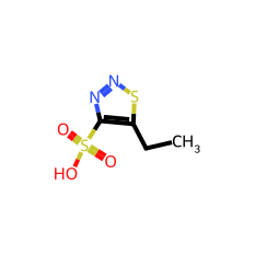 CCc1snnc1S(=O)(=O)O